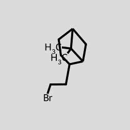 CC1(C)C2CCC(CCBr)C1C2